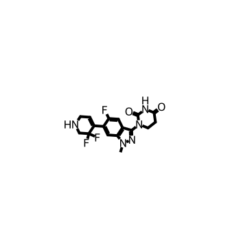 Cn1nc(N2CCC(=O)NC2=O)c2cc(F)c(C3=CCNCC3(F)F)cc21